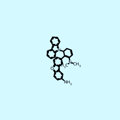 CN(C)C1=C(c2ccc3oc4ccc(N)cc4c3c2)C(n2c3ccccc3c3ccccc32)CC=C1